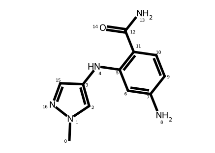 Cn1cc(Nc2cc(N)ccc2C(N)=O)cn1